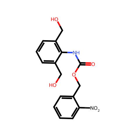 O=C(Nc1c(CO)cccc1CO)OCc1ccccc1[N+](=O)[O-]